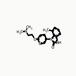 Cc1cccc2[nH]c(=O)n(-c3ccc(OCCN(C)C)nc3)c12